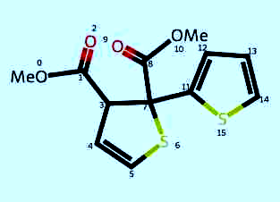 COC(=O)C1C=CSC1(C(=O)OC)c1cccs1